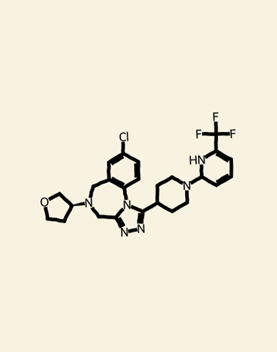 FC(F)(F)C1=CC=CC(N2CCC(c3nnc4n3-c3ccc(Cl)cc3CN([C@H]3CCOC3)C4)CC2)N1